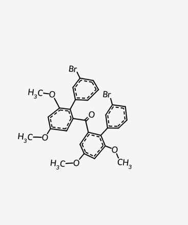 COc1cc(OC)c(-c2cccc(Br)c2)c(C(=O)c2cc(OC)cc(OC)c2-c2cccc(Br)c2)c1